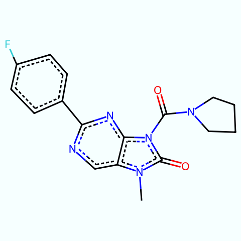 Cn1c(=O)n(C(=O)N2CCCC2)c2nc(-c3ccc(F)cc3)ncc21